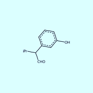 CC(C)C(C=O)c1cccc(O)c1